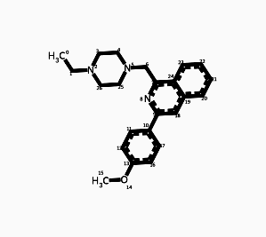 CCN1CCN(Cc2nc(-c3ccc(OC)cc3)cc3ccccc23)CC1